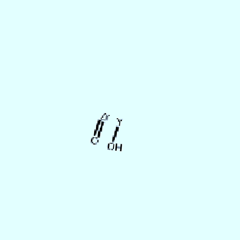 [OH][Y].[O]=[Zr]